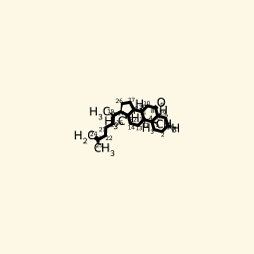 [2H]C1CC[C@@]2(C)[C@H](C1)C(=O)C[C@@H]1[C@@H]2CC[C@]2(C)[C@@H]([C@H](C)CCCC(=C)C)CC[C@@H]12